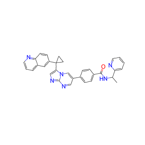 CC(NC(=O)c1ccc(-c2cnc3ncc(C4(c5ccc6ncccc6c5)CC4)n3c2)cc1)c1ccccn1